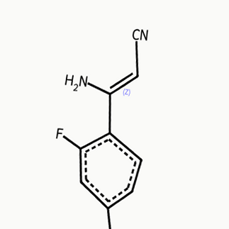 N#C/C=C(\N)c1ccc(F)cc1F